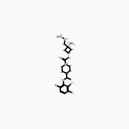 CC(Oc1c(F)ccc(F)c1F)C1CCN(C(=O)C[C@H]2C[C@](N)(COC=O)C2)CC1